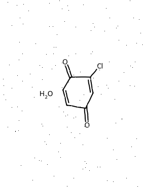 O.O=C1C=CC(=O)C(Cl)=C1